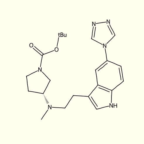 CN(CCc1c[nH]c2ccc(-n3cnnc3)cc12)[C@@H]1CCN(C(=O)OC(C)(C)C)C1